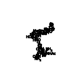 CC[C@H](C)[C@@H]([C@@H](CC(=O)N1CCC[C@H]1[C@H](OC)[C@@H](C)C(=O)N[C@@H](Cc1ccccc1)c1nccs1)OC)N(C)C(=O)[C@@H](NC(=O)C(C)(C)NC(=O)OCc1ccc(NC(=O)[C@H](CCCNC(N)=O)NC(=O)[C@@H](NC(=O)[C@H](CCN)NC(C)=O)C(C)C)cc1)C(C)C.O=C(O)C(F)(F)F